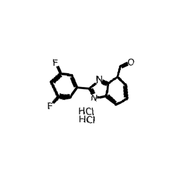 Cl.Cl.O=CC1C=CC=C2N=C(c3cc(F)cc(F)c3)N=C21